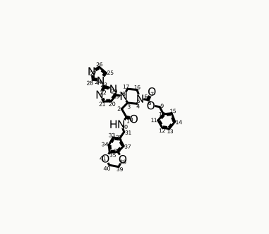 O=C(CC1CN(C(=O)OCc2ccccc2)CCN1c1ccnc(-n2ccnc2)n1)NCc1ccc2c(c1)OCCO2